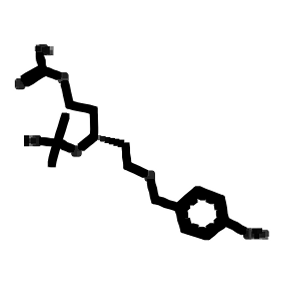 COc1ccc(COCC[C@@H](CCOC(=O)C(C)(C)C)OC(C)(C)O)cc1